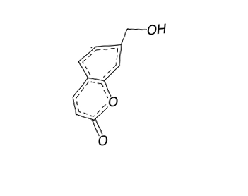 O=c1ccc2c[c]c(CO)cc2o1